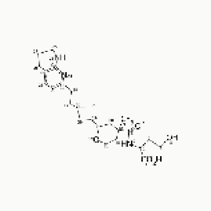 O=C(O)C(CCO)NC(=O)C1(C(F)(F)F)CCOC(C2CC(CCc3ccc4c(n3)NCCC4)C2)C1